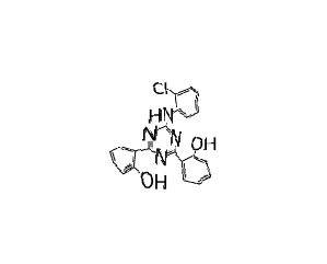 Oc1ccccc1-c1nc(Nc2ccccc2Cl)nc(-c2ccccc2O)n1